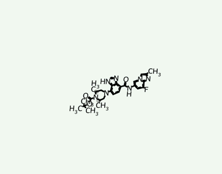 Cc1cn2cc(NC(=O)c3ccc(N4C[C@@H](C)N(C(=O)OC(C)(C)C)[C@@H](C)C4)c4[nH]cnc34)cc(F)c2n1